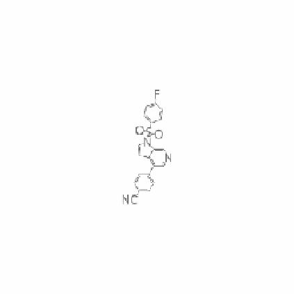 N#Cc1ccc(-c2cncc3c2ccn3S(=O)(=O)c2ccc(F)cc2)cc1